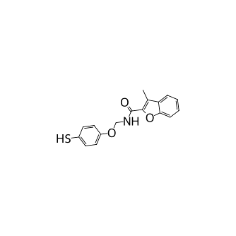 Cc1c(C(=O)NCOc2ccc(S)cc2)oc2ccccc12